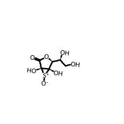 O=C1O[C@@H]([C@@H](O)CO)[C@]2(O)[S+]([O-])[C@]12O